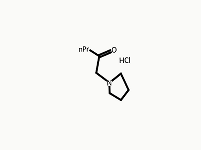 CCCC(=O)CN1CCCC1.Cl